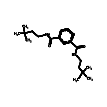 CC(C)(C)CCNC(=O)c1cccc(C(=O)NCCC(C)(C)C)c1